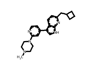 CN1CCN(c2cc(-c3c[nH]c4nc(CC5CCC5)ccc34)ccn2)CC1